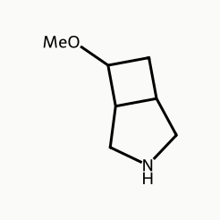 COC1CC2CNCC21